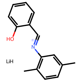 Cc1ccc(C)c(/N=C/c2ccccc2O)c1.[LiH]